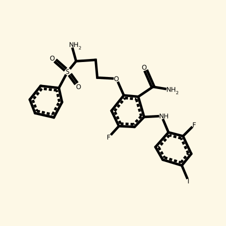 NC(=O)c1c(Nc2ccc(I)cc2F)cc(F)cc1OCCC(N)S(=O)(=O)c1ccccc1